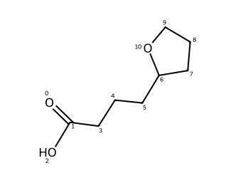 O=C(O)CCCC1CCCO1